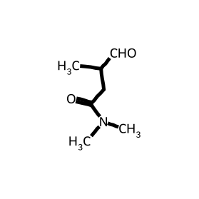 CC(C=O)CC(=O)N(C)C